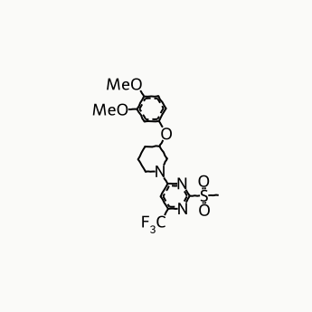 COc1ccc(OC2CCCN(c3cc(C(F)(F)F)nc(S(C)(=O)=O)n3)C2)cc1OC